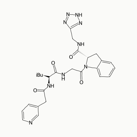 CC[C@H](C)[C@H](NC(=O)Cc1cccnc1)C(=O)NCC(=O)N1c2ccccc2C[C@H]1C(=O)NCc1nn[nH]n1